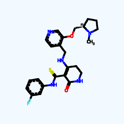 CN1CCC[C@H]1COc1cnccc1CNC1=C(C(=S)Nc2cccc(F)c2)C(=O)NCC1